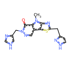 Cn1c2nc(Cc3cc[nH]n3)sc2c2cnn(Cc3c[nH]cn3)c(=O)c21